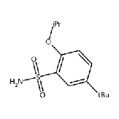 CC(C)Oc1ccc(C(C)(C)C)cc1S(N)(=O)=O